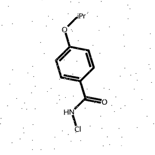 CC(C)Oc1ccc(C(=O)NCl)cc1